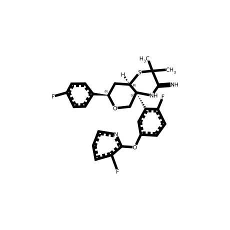 CC1(C)S[C@@H]2C[C@H](c3ccc(F)cc3)OC[C@]2(c2cc(Oc3ncccc3F)ccc2F)NC1=N